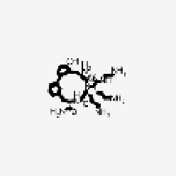 NCCC[C@@H](C(=O)NCCN)N1C(=O)[C@@H](N)Cc2cc(ccc2O)-c2cccc(c2)C[C@@H](C(N)=O)NC(=O)[C@@H]1CCCN